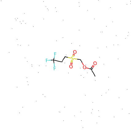 CC(=O)OCS(=O)(=O)CCC(F)(F)F